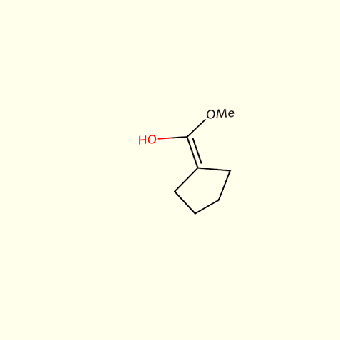 COC(O)=C1CCCC1